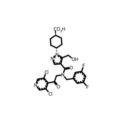 O=C(CN(Cc1cc(F)cc(F)c1)C(=O)c1cnn([C@H]2CC[C@H](C(=O)O)CC2)c1CO)c1c(Cl)cncc1Cl